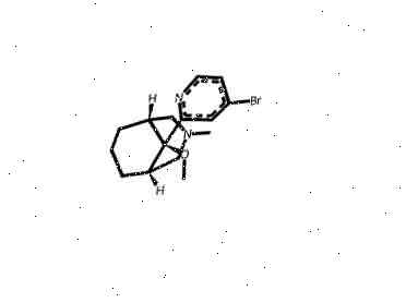 CO[C@]1(c2cc(Br)ccn2)[C@@H]2CCC[C@H]1CN(C)C2